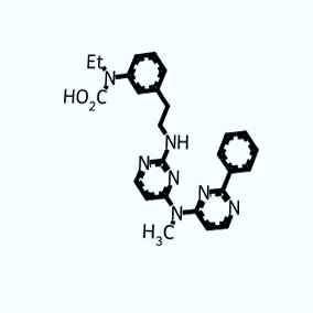 CCN(C(=O)O)c1cccc(CCNc2nccc(N(C)c3ccnc(-c4ccccc4)n3)n2)c1